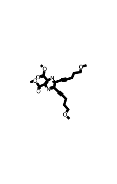 COCCCC#Cc1nc(C(=O)OC)c(C(=O)OC)nc1C#CCCCOC